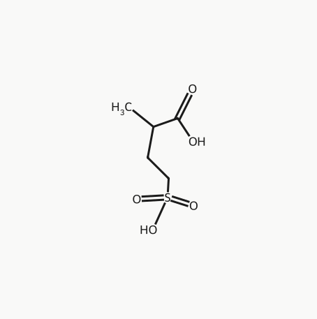 CC(CCS(=O)(=O)O)C(=O)O